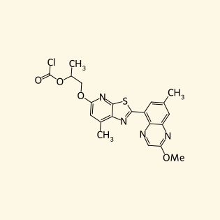 COc1cnc2c(-c3nc4c(C)cc(OCC(C)OC(=O)Cl)nc4s3)cc(C)cc2n1